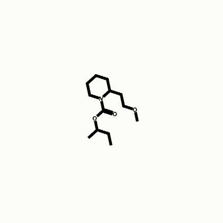 CCC(C)OC(=O)N1CCCCC1CCOC